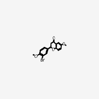 COc1ccc2c(c1)C(=O)CC(c1ccc(OC)c(Br)c1)O2